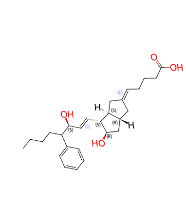 CCCCC(c1ccccc1)[C@@H](O)/C=C/[C@@H]1[C@H]2C/C(=C/CCCC(=O)O)C[C@@H]2C[C@H]1O